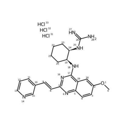 COc1ccc2nc(C=Cc3cccnc3)nc(N[C@H]3CCCC[C@H]3NC(=N)N)c2c1.Cl.Cl.Cl